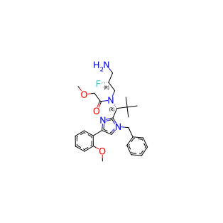 COCC(=O)N(C[C@H](F)CN)[C@@H](c1nc(-c2ccccc2OC)cn1Cc1ccccc1)C(C)(C)C